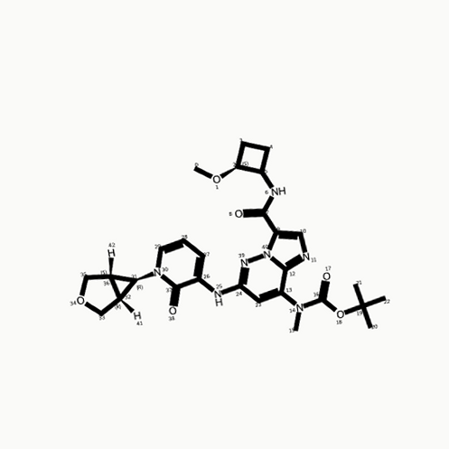 CO[C@H]1CCC1NC(=O)c1cnc2c(N(C)C(=O)OC(C)(C)C)cc(Nc3cccn([C@H]4[C@@H]5COC[C@@H]54)c3=O)nn12